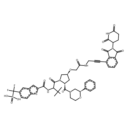 CC(C)(C)C(NC(=O)c1cc2cc(C(F)(F)P(=O)(O)O)ccc2s1)C(=O)N1C[C@@H](OCC(=O)NCC#Cc2cccc3c2C(=O)N(C2CCC(=O)NC2=O)C3=O)C[C@H]1C(=O)N1CCO[C@H](c2ccccc2)C1